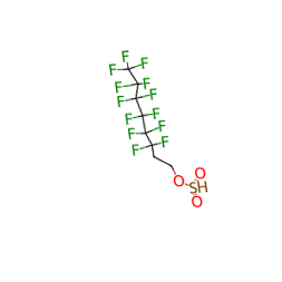 O=[SH](=O)OCCC(F)(F)C(F)(F)C(F)(F)C(F)(F)C(F)(F)C(F)(F)F